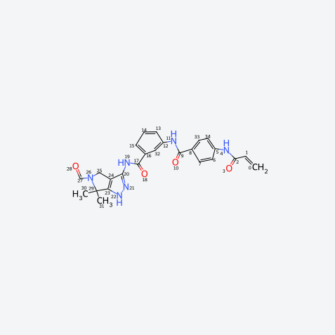 C=CC(=O)Nc1ccc(C(=O)Nc2cccc(C(=O)Nc3n[nH]c4c3CN(C=O)C4(C)C)c2)cc1